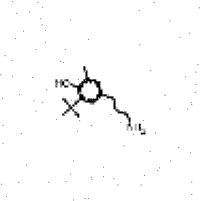 Cc1cc(CCCN)cc(C(C)(C)C)c1O